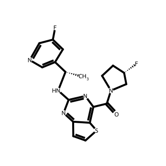 C[C@H](Nc1nc(C(=O)N2CC[C@H](F)C2)c2sccc2n1)c1cncc(F)c1